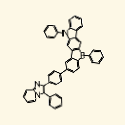 c1ccc(B2c3ccc(-c4ccc(-c5nc6ccccn6c5-c5ccccc5)cc4)cc3-c3cc4c(cc32)c2ccccc2n4-c2ccccc2)cc1